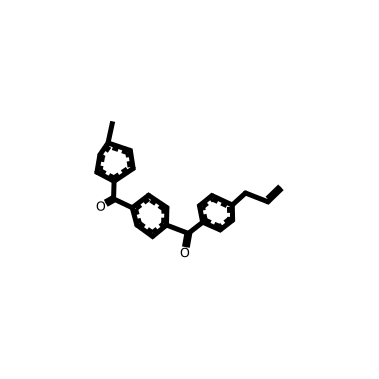 C=CCc1ccc(C(=O)c2ccc(C(=O)c3ccc(C)cc3)cc2)cc1